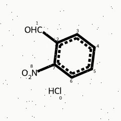 Cl.O=Cc1ccccc1[N+](=O)[O-]